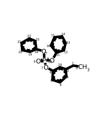 CCc1cccc(OP(=O)(Oc2ccccc2)Oc2ccccc2)c1